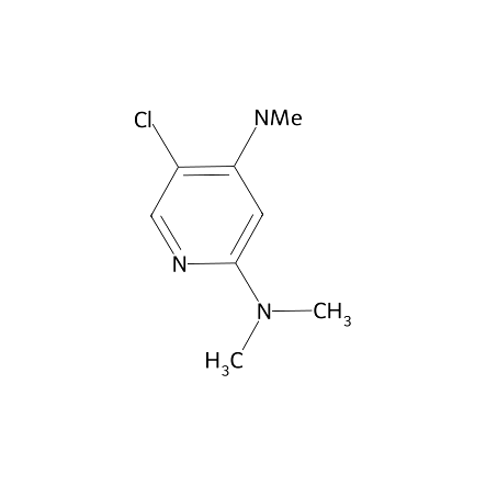 CNc1cc(N(C)C)ncc1Cl